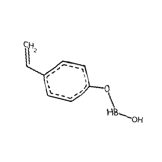 C=Cc1ccc(OBO)cc1